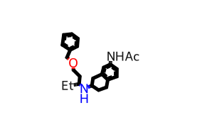 CCC(CCOCc1ccccc1)NC1CCc2ccc(NC(C)=O)cc2C1